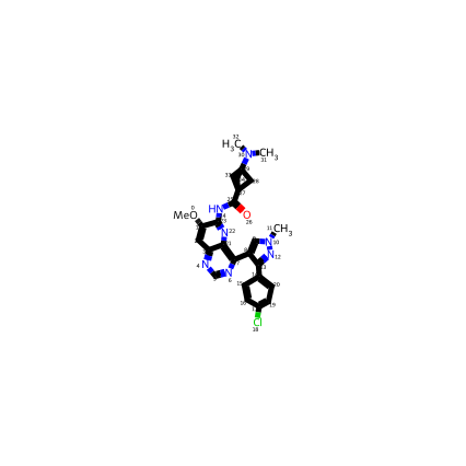 COc1cc2ncnc(-c3cn(C)nc3-c3ccc(Cl)cc3)c2nc1NC(=O)C12CC(N(C)C)(C1)C2